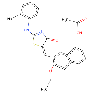 CC(=O)O.CCOc1cc2ccccc2cc1C=C1SC(Nc2cccc[c]2[Na])=NC1=O